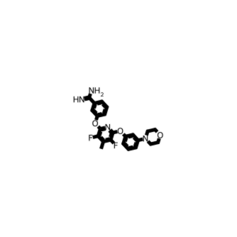 Cc1c(F)c(Oc2cccc(C(=N)N)c2)nc(Oc2cccc(N3CCOCC3)c2)c1F